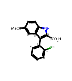 COc1ccc2[nH]c(C(=O)O)c(-c3ccccc3F)c2c1